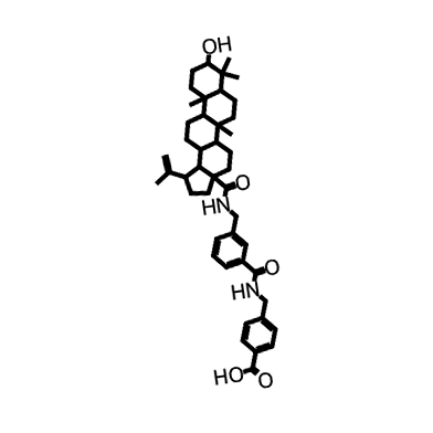 C=C(C)C1CCC2(C(=O)NCc3cccc(C(=O)NCc4ccc(C(=O)O)cc4)c3)CCC3C(CCC4C3(C)CCC3C(C)(C)C(O)CCC34C)C12